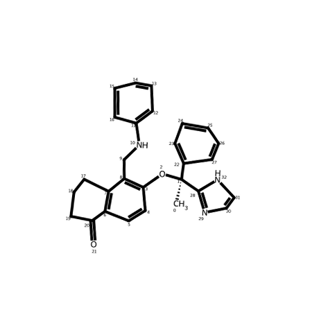 C[C@](Oc1ccc2c(c1CNc1ccccc1)CCCC2=O)(c1ccccc1)c1ncc[nH]1